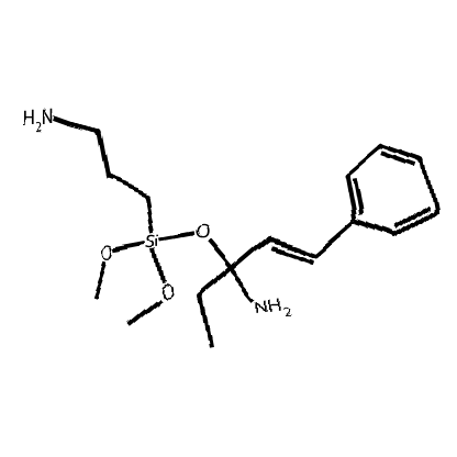 CCC(N)(C=Cc1ccccc1)O[Si](CCCN)(OC)OC